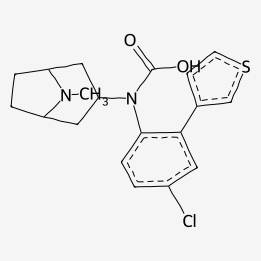 CN1C2CCC1CC(N(C(=O)O)c1ccc(Cl)cc1-c1ccsc1)C2